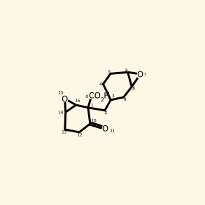 O=C(O)C1(CC2CCC3OC3C2)C(=O)CCC2OC21